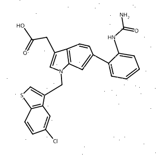 NC(=O)Nc1ccccc1-c1ccc2c(CC(=O)O)cn(Cc3csc4ccc(Cl)cc34)c2c1